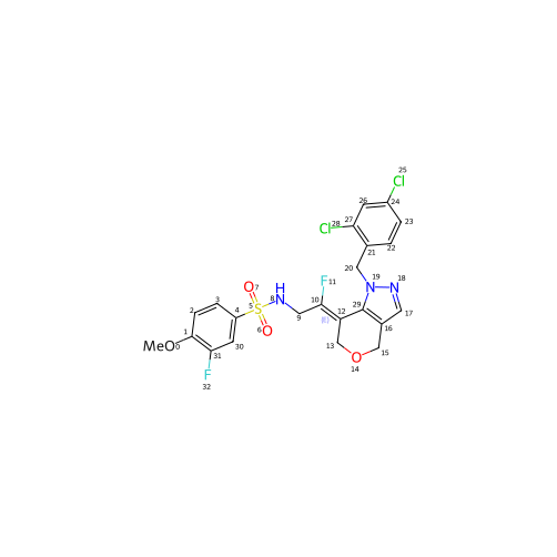 COc1ccc(S(=O)(=O)NC/C(F)=C2\COCc3cnn(Cc4ccc(Cl)cc4Cl)c32)cc1F